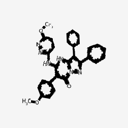 COc1ccc(-c2c(Nc3ccc(OC)nn3)[nH]c3c(-c4ccccc4)c(-c4ccccc4)nn3c2=O)cc1